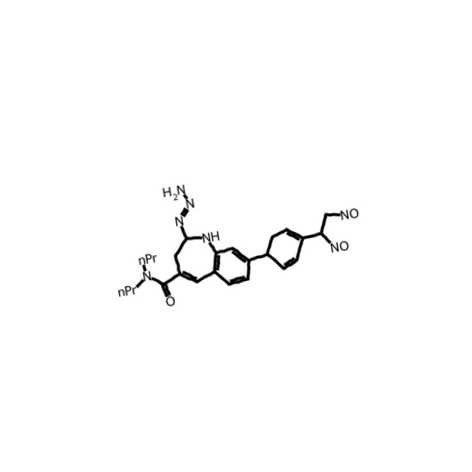 CCCN(CCC)C(=O)C1=Cc2ccc(C3C=CC(C(CN=O)N=O)=CC3)cc2NC(N=NN)C1